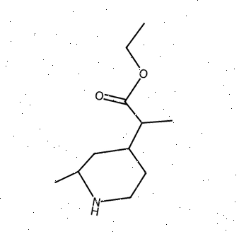 CCOC(=O)C(C)C1CCNC(C)C1